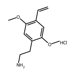 C=Cc1cc(OC)c(CCN)cc1OC.Cl